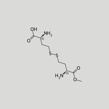 COC(=O)[C@@H](N)CCSSCC[C@H](N)C(=O)O